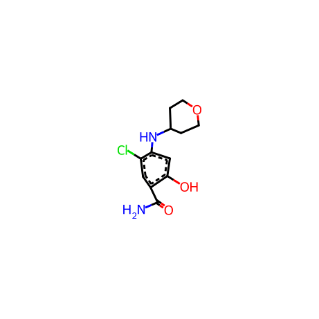 NC(=O)c1cc(Cl)c(NC2CCOCC2)cc1O